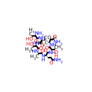 C[C@H](NC(=O)[C@@H](NC(=O)[C@H](CC(=O)O)NC(=O)[C@@H](N)[C@@H](C)O)[C@@H](C)O)C(=O)N[C@@H](CCC(N)=O)C(=O)N[C@H](C(=O)N[C@@H](CC(N)=O)C(=O)O)[C@@H](C)O